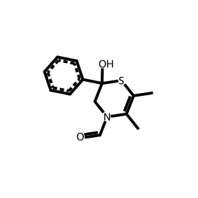 CC1=C(C)N(C=O)CC(O)(c2ccccc2)S1